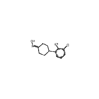 CCc1c(Cl)cccc1C1CCC(=NO)CC1